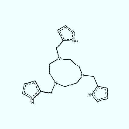 c1c[nH]c(CN2CCN(Cc3ccc[nH]3)CCN(Cc3ccc[nH]3)CC2)c1